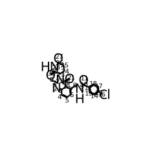 CC1=NC2C=CC=C(CNC(=O)c3ccc(Cl)cc3)C2C(=O)N1C1CCC(=O)NC1=O